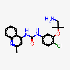 Cc1cc(NC(=O)Nc2ccc(Cl)c(OC(C)(C)CN)c2)c2ccccc2n1